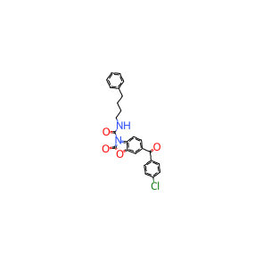 O=C(c1ccc(Cl)cc1)c1ccc2c(c1)oc(=O)n2C(=O)NCCCCc1ccccc1